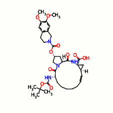 COc1cc2c(cc1OC)CN(C(=O)O[C@@H]1C[C@H]3C(=O)N[C@]4(C(=O)O)C[C@H]4/C=C\CCCCC[C@H](NC(=O)OC(C)(C)C)C(=O)N3C1)CC2